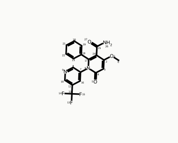 COc1cc(=O)n(-c2cncc(C(F)(F)F)c2)c(-c2ccccc2)c1C(N)=O